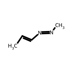 CC=CN=NC